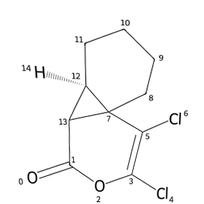 O=C1OC(Cl)=C(Cl)C23CCCC[C@@H]2C13